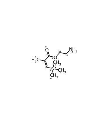 CC(=C[N+](C)(C)C)C(=O)OCCN